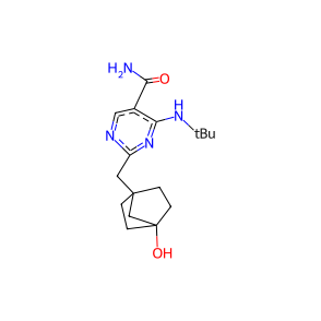 CC(C)(C)Nc1nc(CC23CCC(O)(CC2)C3)ncc1C(N)=O